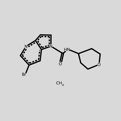 C.O=C(NC1CCOCC1)n1ccc2ncc(Br)cc21